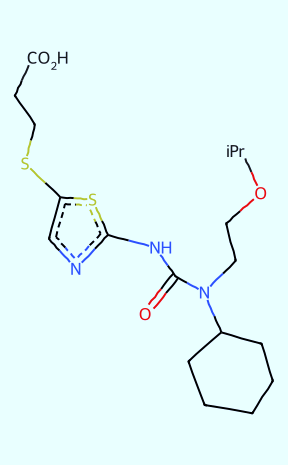 CC(C)OCCN(C(=O)Nc1ncc(SCCC(=O)O)s1)C1CCCCC1